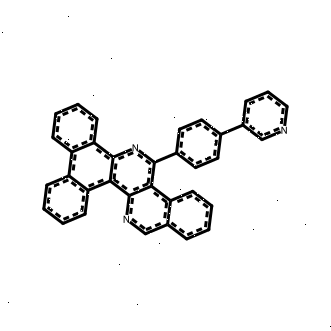 c1cncc(-c2ccc(-c3nc4c5ccccc5c5ccccc5c4c4ncc5ccccc5c34)cc2)c1